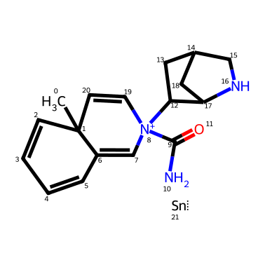 CC12C=CC=CC1=C[N+](C(N)=O)(C1CC3CNC1C3)C=C2.[Sn]